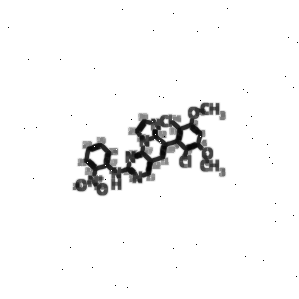 COc1cc(OC)c(Cl)c(-c2cc3cnc(Nc4ccccc4[N+](=O)[O-])nc3n3ccnc23)c1Cl